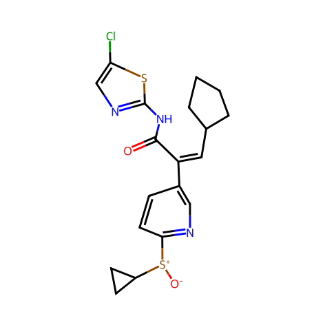 O=C(Nc1ncc(Cl)s1)C(=CC1CCCC1)c1ccc([S+]([O-])C2CC2)nc1